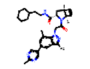 CC(=O)c1nn(CC(=O)N2[C@H](C(=O)NCCC3CCCCC3)C[C@@]3(C)C#C[C@@H]23)c2c(C)cc(-c3cnc(C)nc3)cc12